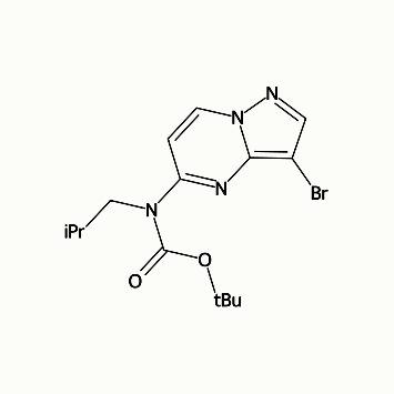 CC(C)CN(C(=O)OC(C)(C)C)c1ccn2ncc(Br)c2n1